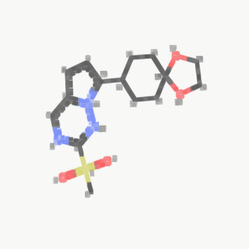 CS(=O)(=O)c1ncc2ccc(C3CCC4(CC3)OCCO4)n2n1